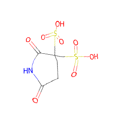 O=C1CC(S(=O)(=O)O)(S(=O)(=O)O)C(=O)N1